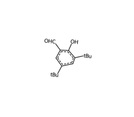 CC(C)(C)c1cc(C=O)c(O)c(C(C)(C)C)c1